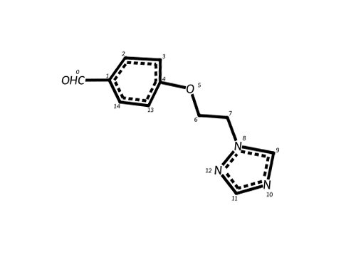 O=Cc1ccc(OCCn2cncn2)cc1